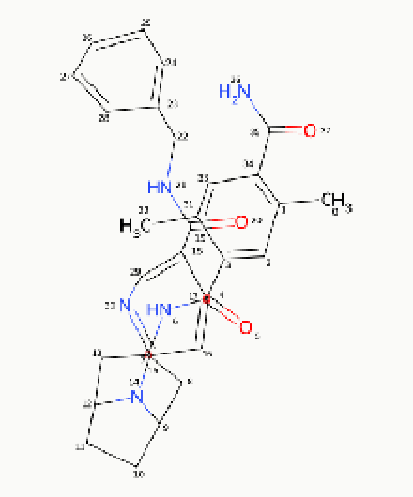 Cc1cc(C(=O)NC2CC3CCC(C2)N3c2ccc(C(=O)NCc3ccccc3)cn2)c(C)cc1C(N)=O